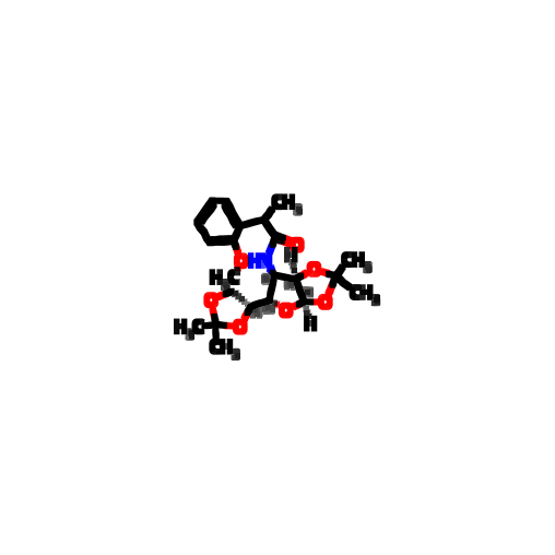 COc1ccccc1C(C)C(=O)N[C@H]1[C@H]2OC(C)(C)O[C@H]2O[C@@H]1[C@H]1COC(C)(C)O1